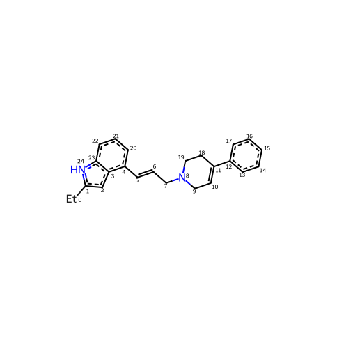 CCc1cc2c(C=CCN3CC=C(c4ccccc4)CC3)cccc2[nH]1